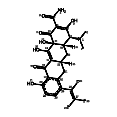 CN(C)[C@@H]1C(O)=C(C(N)=O)C(=O)[C@@]2(O)C(O)=C3C(=O)c4c(O)ccc(C(F)=C(F)F)c4C[C@H]3C[C@@H]12